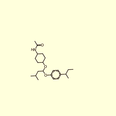 CCC(C)c1ccc(OC(CC(C)C)OC2CCC(NC(C)=O)CC2)cc1